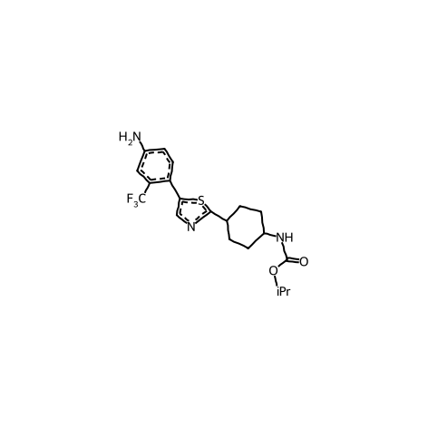 CC(C)OC(=O)NC1CCC(c2ncc(-c3ccc(N)cc3C(F)(F)F)s2)CC1